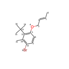 CC=CCOc1ccc(Br)c(C)c1C(C)(C)C